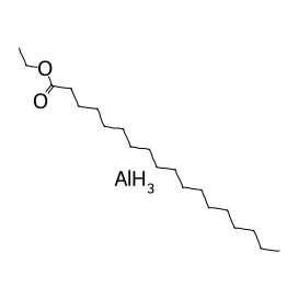 CCCCCCCCCCCCCCCCCC(=O)OCC.[AlH3]